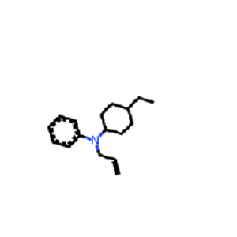 C=CCN(c1ccccc1)C1CCC(CC)CC1